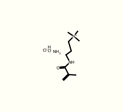 C=C(C)C(=O)NCCC[N+](C)(C)C.Cl.N.[Cl-]